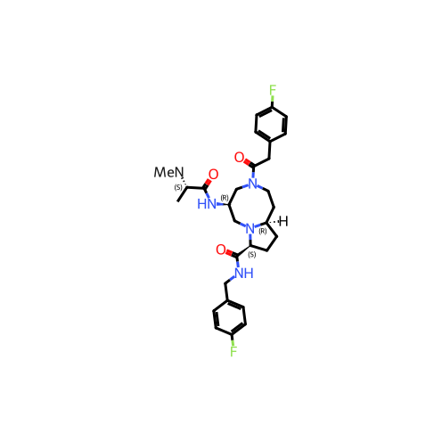 CN[C@@H](C)C(=O)N[C@H]1CN(C(=O)Cc2ccc(F)cc2)CC[C@H]2CC[C@@H](C(=O)NCc3ccc(F)cc3)N2C1